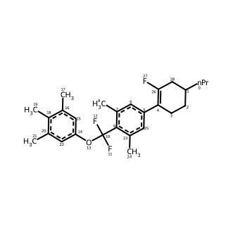 CCCC1CCC(c2cc(C)c(C(F)(F)Oc3cc(C)c(C)c(C)c3)c(C)c2)=C(F)C1